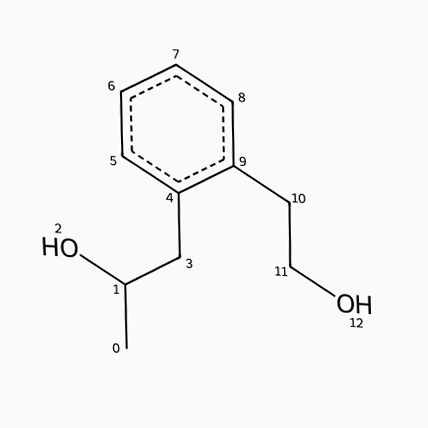 CC(O)Cc1ccccc1CCO